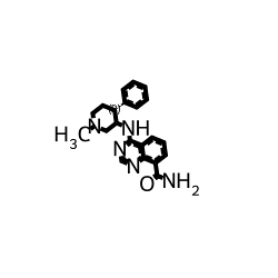 CN1CC[C@H](c2ccccc2)C(Nc2ncnc3c(C(N)=O)cccc23)C1